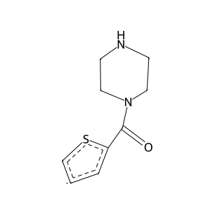 O=C(c1c[c]cs1)N1CCNCC1